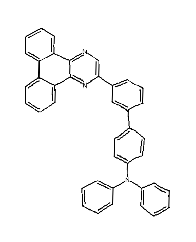 c1ccc(N(c2ccccc2)c2ccc(-c3cccc(-c4cnc5c6ccccc6c6ccccc6c5n4)c3)cc2)cc1